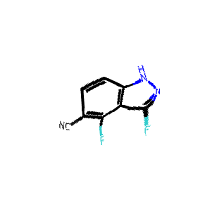 N#Cc1ccc2[nH]nc(F)c2c1F